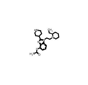 CCC1CCCCN1CCn1c(C2CCNCC2)nc2c(OC(N)=O)cccc21